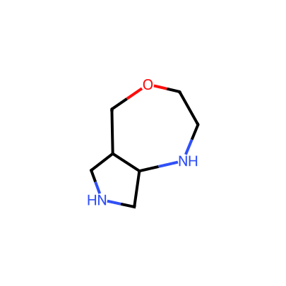 C1COCC2CNCC2N1